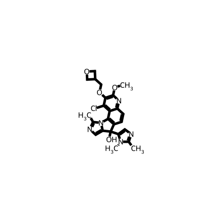 COc1nc2ccc3c(c2c(Cl)c1OCC1COC1)-n1c(cnc1C)C3(O)c1cnc(C)n1C